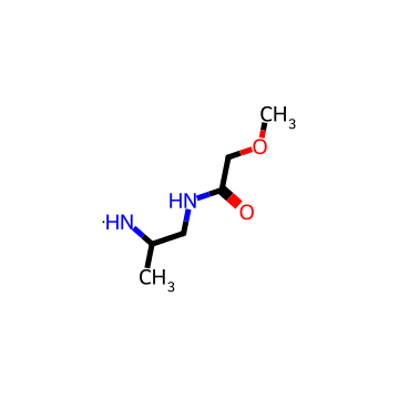 COCC(=O)NCC(C)[NH]